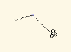 CCCCCCCC/C=C\CCCCCCCCCCC[Si](OC)(OC)OC